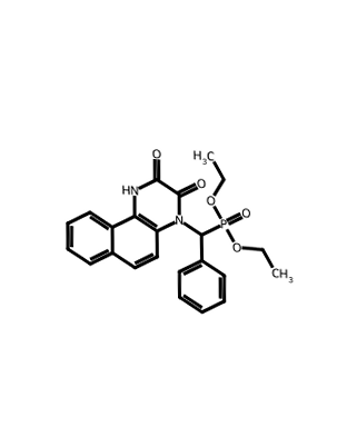 CCOP(=O)(OCC)C(c1ccccc1)n1c(=O)c(=O)[nH]c2c3ccccc3ccc21